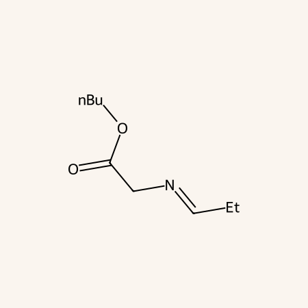 CCC=NCC(=O)OCCCC